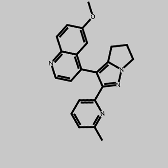 COc1ccc2nccc(-c3c(-c4cccc(C)n4)nn4c3CCC4)c2c1